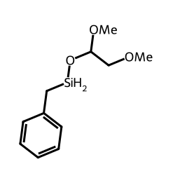 COCC(OC)O[SiH2]Cc1ccccc1